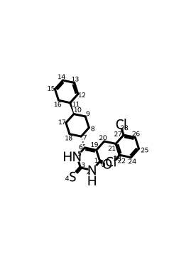 O=c1[nH]c(=S)[nH]c([C@H]2CC[C@H](C3C=CC=CC3)CC2)c1Cc1c(Cl)cccc1Cl